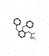 CC(N)Cc1cccc(Cc2ccccc2)c1Cc1ccccc1